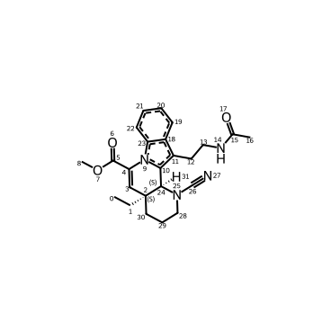 CC[C@]12C=C(C(=O)OC)n3c(c(CCNC(C)=O)c4ccccc43)[C@H]1N(C#N)CCC2